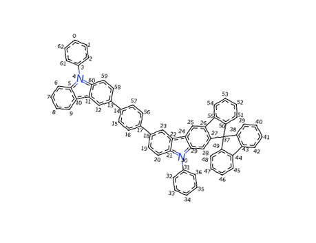 c1ccc(-n2c3ccccc3c3cc(-c4ccc(-c5ccc6c(c5)c5cc7c(cc5n6-c5ccccc5)C5(c6ccccc6-c6ccccc65)c5ccccc5-7)cc4)ccc32)cc1